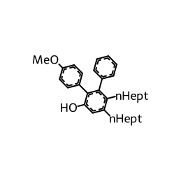 CCCCCCCc1cc(O)c(-c2ccc(OC)cc2)c(-c2ccccc2)c1CCCCCCC